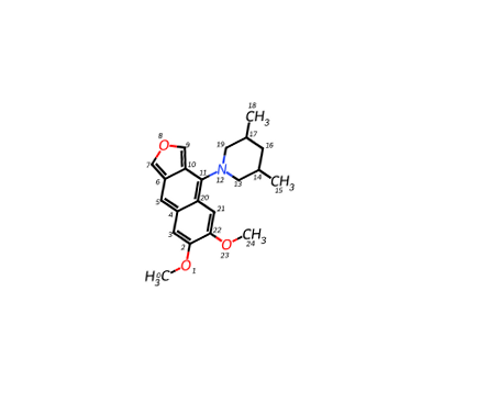 COc1cc2cc3cocc3c(N3CC(C)CC(C)C3)c2cc1OC